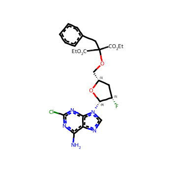 CCOC(=O)C(Cc1ccccc1)(OC[C@@H]1C[C@H](F)[C@H](n2cnc3c(N)nc(Cl)nc32)O1)C(=O)OCC